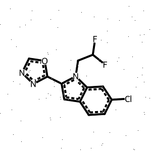 FC(F)Cn1c(-c2nnco2)cc2ccc(Cl)cc21